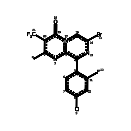 Cc1nc2c(-c3ccc(Cl)cc3F)nc(Br)cn2c(=O)c1C(F)(F)F